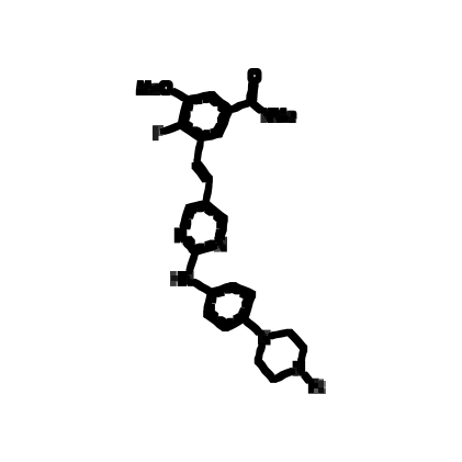 CCN1CCN(c2ccc(Nc3ncc(/C=C/c4cc(C(=O)NC)cc(OC)c4F)cn3)cc2)CC1